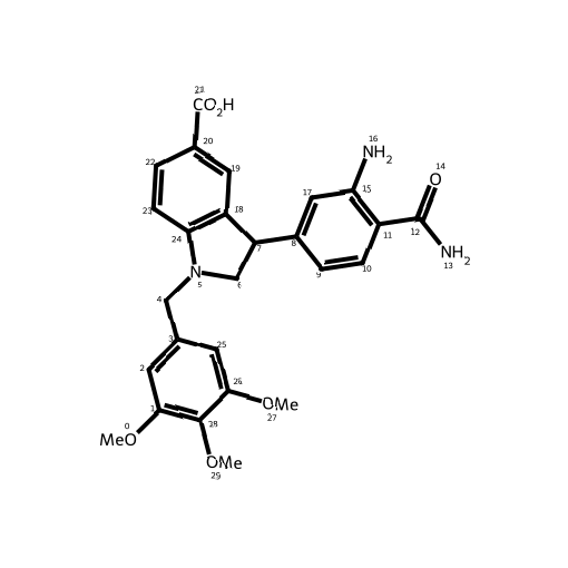 COc1cc(CN2CC(c3ccc(C(N)=O)c(N)c3)c3cc(C(=O)O)ccc32)cc(OC)c1OC